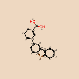 OB(O)C1=CC(c2ccc3sc4ccccc4c3c2)=CCC1